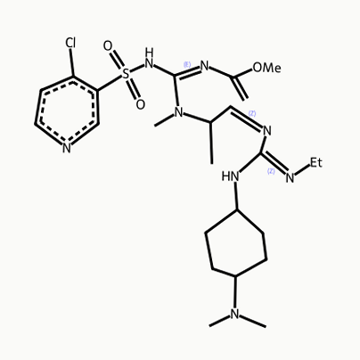 C=C(/N=C(/NS(=O)(=O)c1cnccc1Cl)N(C)C(C)/C=N\C(=N/CC)NC1CCC(N(C)C)CC1)OC